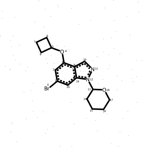 Brc1cc(OC2CCC2)c2cnn(C3CCCCO3)c2c1